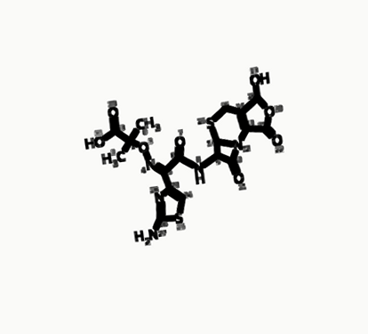 CC(C)(O/N=C(\C(=O)NC1C(=O)N2C3=C(CSC12)C(O)OC3=O)c1csc(N)n1)C(=O)O